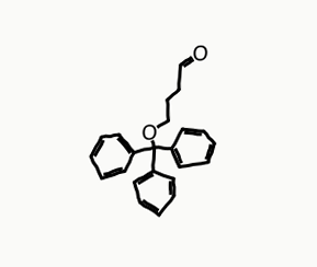 O=CCCCOC(c1ccccc1)(c1ccccc1)c1ccccc1